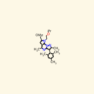 COCc1cc2c(C)nc3c(-c4c(C)cc(C)cc4C)c(C)nn3c2n1CCOC(C)C